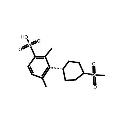 Cc1ccc(S(=O)(=O)O)c(C)c1[C@H]1CC[C@H](S(C)(=O)=O)CC1